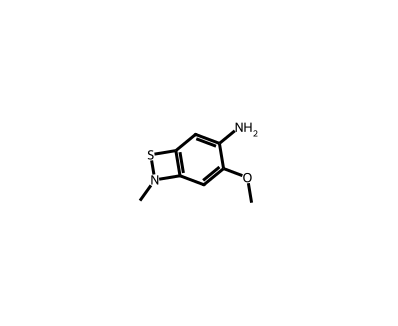 COc1cc2c(cc1N)sn2C